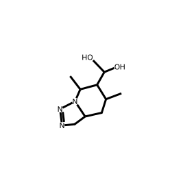 CC1CC2CN=NN2C(C)C1C(O)O